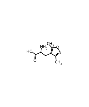 Cc1noc(C)c1CC(N)C(=O)O